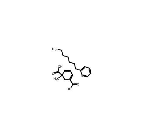 CC1(C(=O)O)C=CC=C(C(=O)O)C1.CCCCCCCc1ccccn1